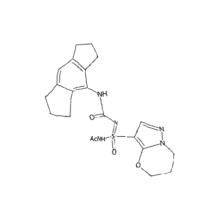 CC(=O)NS(=O)(=NC(=O)Nc1c2c(cc3c1CCC3)CCC2)c1cnn2c1OCCC2